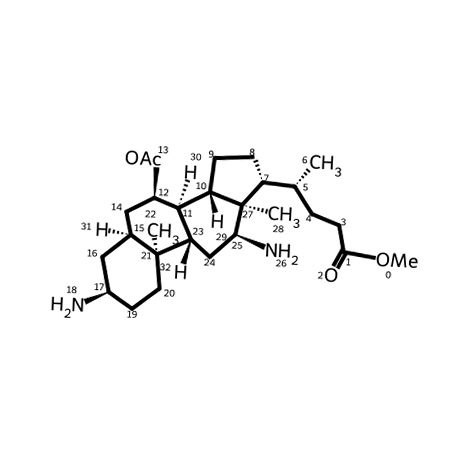 COC(=O)CC[C@@H](C)[C@H]1CC[C@H]2[C@@H]3[C@H](OC(C)=O)C[C@@H]4C[C@H](N)CC[C@]4(C)[C@H]3C[C@H](N)[C@]12C